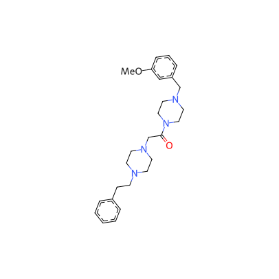 COc1cccc(CN2CCN(C(=O)CN3CCN(CCc4ccccc4)CC3)CC2)c1